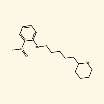 O=[N+]([O-])c1cccnc1NCCCCCC1CCCCN1